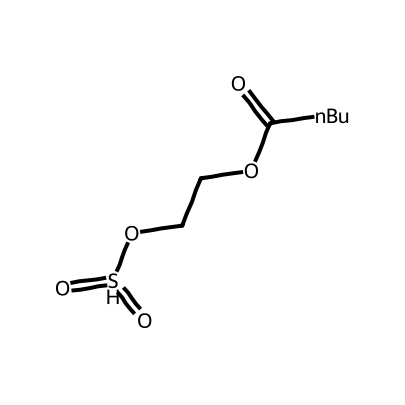 CCCCC(=O)OCCO[SH](=O)=O